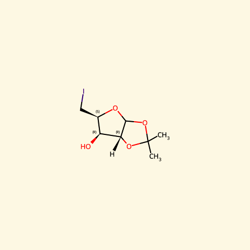 CC1(C)OC2O[C@H](CI)[C@H](O)[C@H]2O1